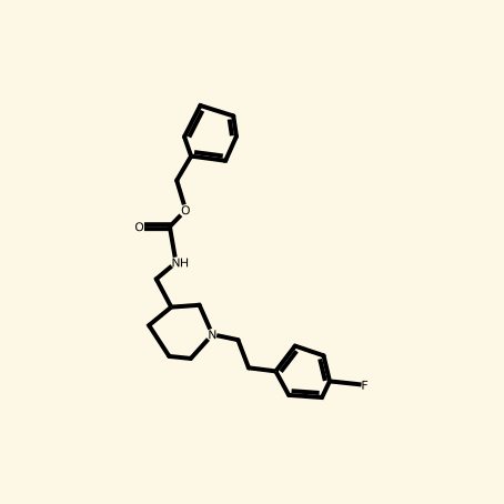 O=C(NCC1CCCN(CCc2ccc(F)cc2)C1)OCc1ccccc1